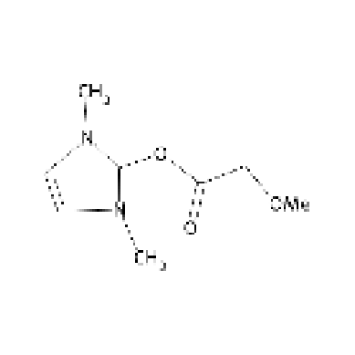 COCC(=O)OC1N(C)C=CN1C